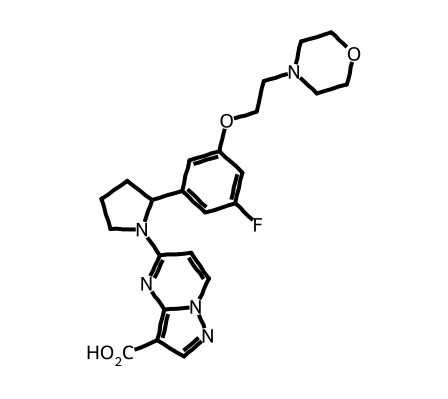 O=C(O)c1cnn2ccc(N3CCCC3c3cc(F)cc(OCCN4CCOCC4)c3)nc12